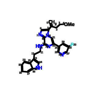 C=C(CCOC)c1cnc2c(NCCc3c[nH]c4ccccc34)nc(-c3cncc(F)c3)cn12